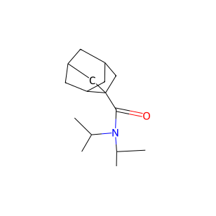 CC(C)N(C(=O)C12CC3CC(CC1C3)C2)C(C)C